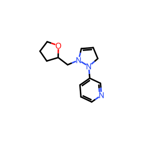 C1=CN(CC2CCCO2)N(c2cccnc2)C1